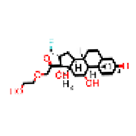 C[C@]12C=CC(=O)C=C1CC[C@@H]1[C@@H]2[C@@H](O)C[C@@]2(C)[C@H]1C[C@@H](CF)[C@]2(O)C(=O)COCCO